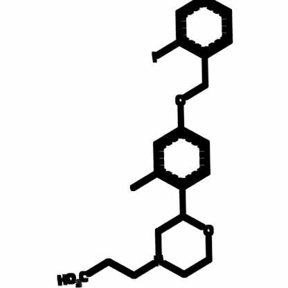 Cc1cc(OCc2ccccc2I)ccc1C1CN(CCC(=O)O)CCO1